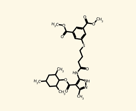 COC(=O)c1cc(SCCCC(=O)Nc2[nH]nc(C)c2C(=O)OC2C(C)CC(C)CC2C)cc(C(=O)OC)c1